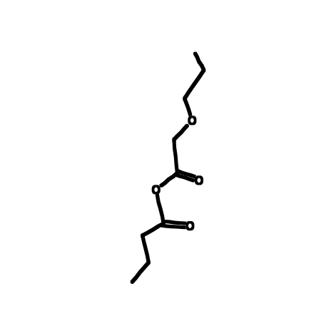 CCCOCC(=O)OC(=O)CCC